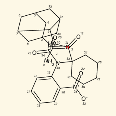 NC(=O)C12CC3CC(C1)C(NC(=O)C1(N(c4ccccc4[N+](=O)[O-])[SH](=O)=O)CCCCC1)C(C3)C2